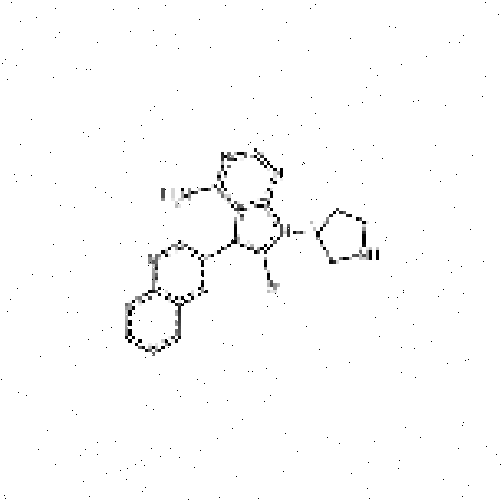 Nc1ncnc2c1c(-c1cnc3ccccc3c1)c(Br)n2[C@@H]1CCNC1